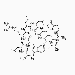 CC(C)C[C@H](NC(=O)[C@H](CC(C)C)NC(=O)[C@H](CCCNC(=N)N)NC(=O)[C@H](Cc1c[nH]c2ccccc12)NC(=O)[C@H](CC(C)C)NC(=O)[C@@H](N)CO)C(=O)N[C@@H](Cc1c[nH]c2ccccc12)C(=O)N[C@@H](CCCNC(=N)N)C(=O)N[C@@H](C)C(=O)O